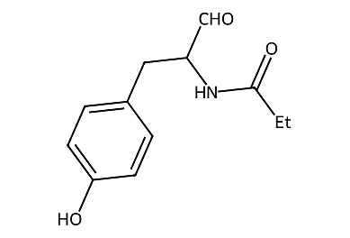 CCC(=O)NC(C=O)Cc1ccc(O)cc1